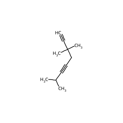 C#CC(C)(C)CC#CC(C)C